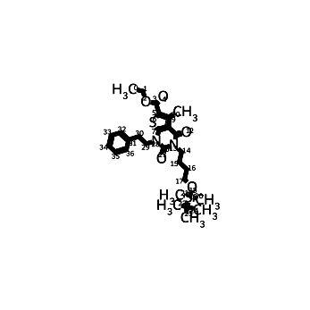 CCOC(=O)c1sc2c(c1C)c(=O)n(CCCCO[Si](C)(C)C(C)(C)C)c(=O)n2CCc1ccccc1